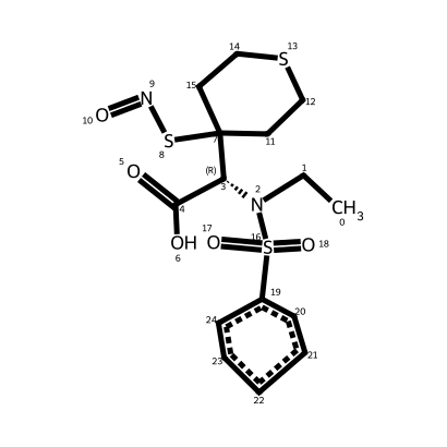 CCN([C@H](C(=O)O)C1(SN=O)CCSCC1)S(=O)(=O)c1ccccc1